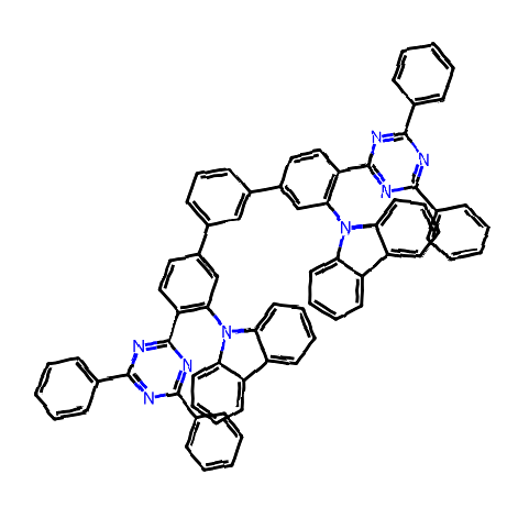 c1ccc(-c2nc(-c3ccccc3)nc(-c3ccc(-c4cccc(-c5ccc(-c6nc(-c7ccccc7)nc(-c7ccccc7)n6)c(-n6c7ccccc7c7ccccc76)c5)c4)cc3-n3c4ccccc4c4ccccc43)n2)cc1